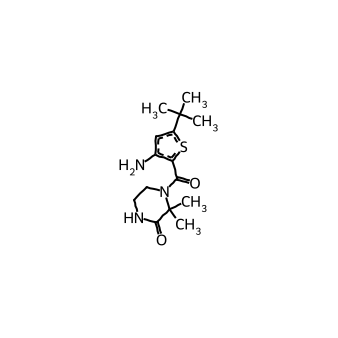 CC(C)(C)c1cc(N)c(C(=O)N2CCNC(=O)C2(C)C)s1